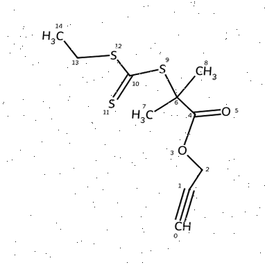 C#CCOC(=O)C(C)(C)SC(=S)SCC